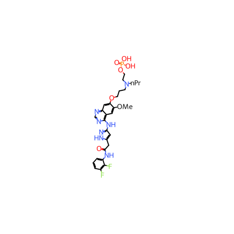 CCCN(CCCOc1cc2ncnc(Nc3cc(CC(=O)Nc4cccc(F)c4F)[nH]n3)c2cc1OC)CCOP(=O)(O)O